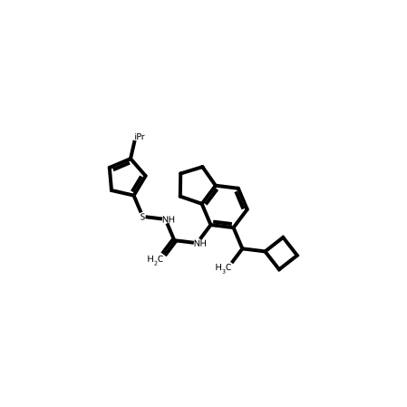 C=C(NSC1=CC(C(C)C)=CC1)Nc1c(C(C)C2CCC2)ccc2c1CCC2